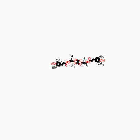 Cc1cc(CCC(=O)OOCC(C)(C)C2OCC3(CO2)COC(C(C)(C)COOC(=O)CCc2cc(C)c(O)c(C(C)(C)C)c2)OC3)cc(C(C)(C)C)c1O